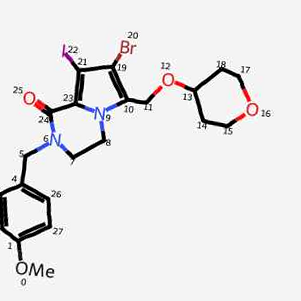 COc1ccc(CN2CCn3c(COC4CCOCC4)c(Br)c(I)c3C2=O)cc1